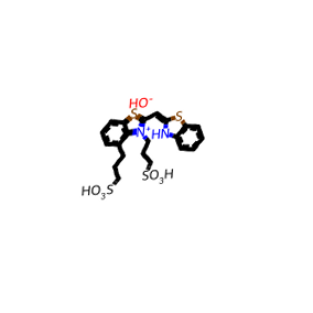 O=S(=O)(O)CCCc1cccc2sc(C=C3Nc4ccccc4S3)[n+](CCCS(=O)(=O)O)c12.[OH-]